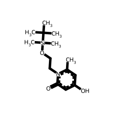 Cc1cc(O)cc(=O)n1CCO[Si](C)(C)C(C)(C)C